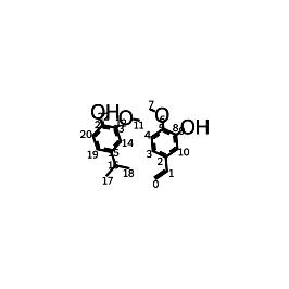 C=Cc1ccc(OC)c(O)c1.COc1cc(C(C)C)ccc1O